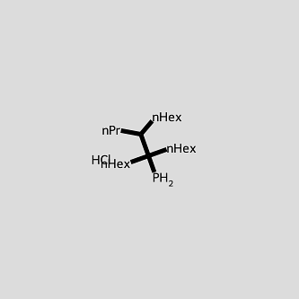 CCCCCCC(CCC)C(P)(CCCCCC)CCCCCC.Cl